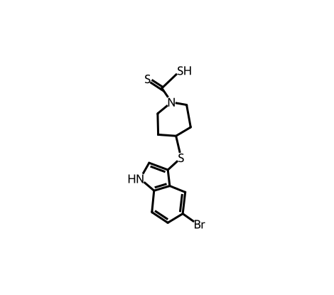 S=C(S)N1CCC(Sc2c[nH]c3ccc(Br)cc23)CC1